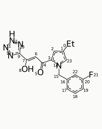 CCc1cc(C(=O)C=C(O)c2nn[nH]n2)n(Cc2cccc(F)c2)c1